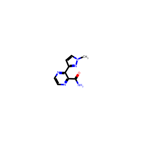 Cn1ccc(-c2nccnc2C(N)=O)n1